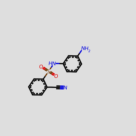 N#Cc1ccccc1S(=O)(=O)Nc1cccc(N)c1